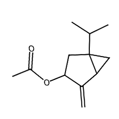 C=C1C(OC(C)=O)CC2(C(C)C)CC12